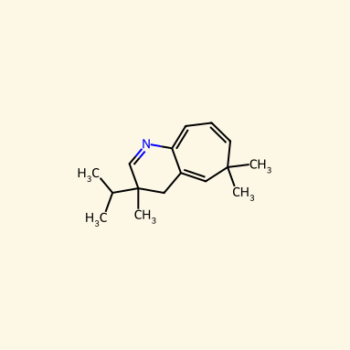 CC(C)C1(C)C=NC2=CC=CC(C)(C)C=C2C1